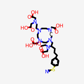 N#CSc1ccc(CCCC(CN2CCN(CC(=O)O)CCN(CCN(CC(=O)O)CC(=O)O)CCN(CC(=O)O)CC2)N(CC(=O)O)CC(=O)O)cc1